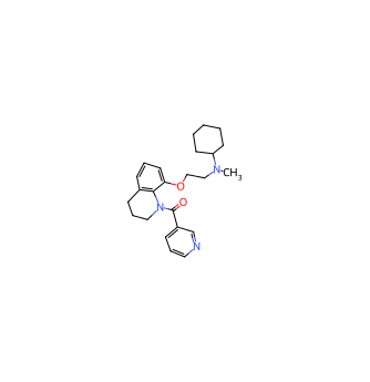 CN(CCOc1cccc2c1N(C(=O)c1cccnc1)CCC2)C1CCCCC1